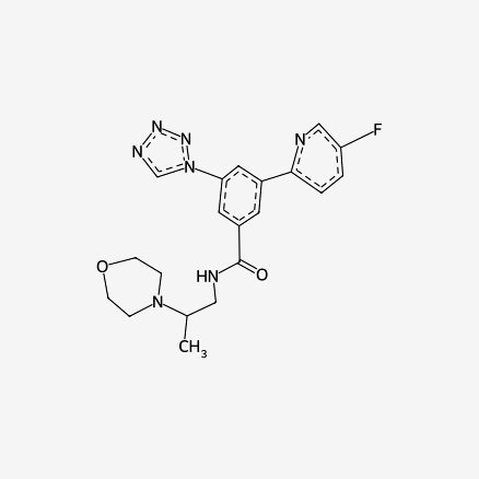 CC(CNC(=O)c1cc(-c2ccc(F)cn2)cc(-n2cnnn2)c1)N1CCOCC1